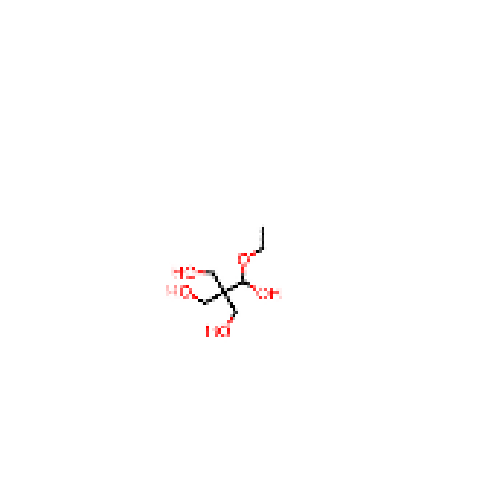 CCOC(O)C(CO)(CO)CO